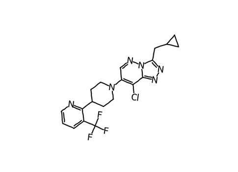 FC(F)(F)c1cccnc1C1CCN(c2cnn3c(CC4CC4)nnc3c2Cl)CC1